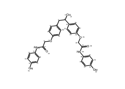 CC(Cc1ccc(OCC(=O)Nc2ccc(O)cc2)cc1)c1ccc(OCC(=O)Nc2ccc(O)cc2)cc1